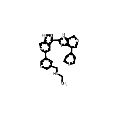 CCNCc1cncc(-c2cc3c(-c4nc5c(-c6ccncc6)cncc5[nH]4)n[nH]c3cn2)c1